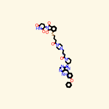 Nc1ncnc2c1c(-c1ccc(Oc3ccccc3)cc1)nn2[C@@H]1CCCN(C(=O)/C=C/CN2CCN(C(=O)CCCSc3cccc4c3C(=O)N(C3CCC(=O)NC3=O)C4=O)CC2)C1